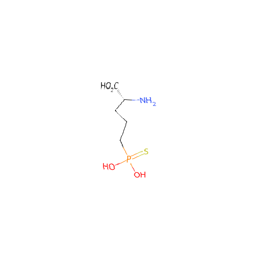 N[C@H](CCCP(O)(O)=S)C(=O)O